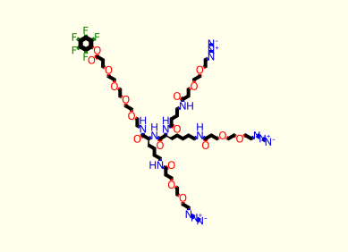 [N-]=[N+]=NCCOCCOCCC(=O)NCCCCC[C@H](NC(=O)CCCNC(=O)CCOCCOCCN=[N+]=[N-])C(=O)N[C@@H](CCCCNC(=O)CCOCCOCCN=[N+]=[N-])C(=O)NCCOCCOCCOCCOCCC(=O)Oc1c(F)c(F)c(F)c(F)c1F